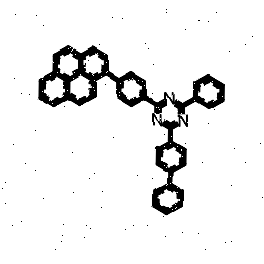 c1ccc(-c2ccc(-c3nc(-c4ccccc4)nc(-c4ccc(-c5ccc6ccc7cccc8ccc5c6c78)cc4)n3)cc2)cc1